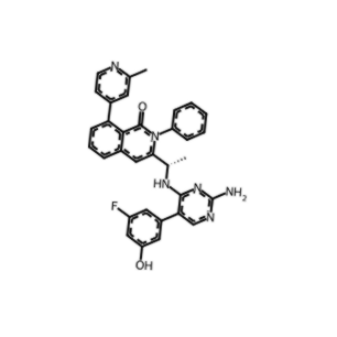 Cc1cc(-c2cccc3cc([C@H](C)Nc4nc(N)ncc4-c4cc(O)cc(F)c4)n(-c4ccccc4)c(=O)c23)ccn1